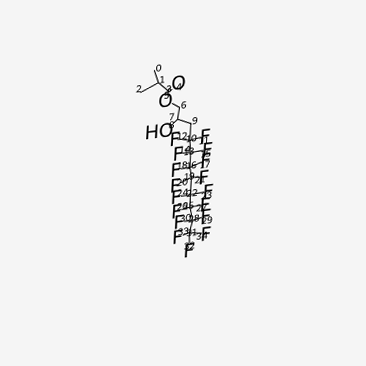 CC(C)C(=O)OCC(O)CC(F)(F)C(F)(F)C(F)(F)C(F)(F)C(F)(F)C(F)(F)C(F)(F)C(F)(F)F